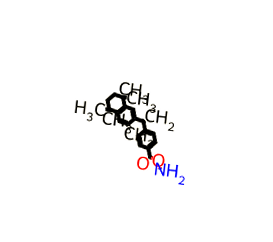 C=C(c1ccc(C(=O)ON)cc1)c1cc2c(cc1C)C(C)(C)CCC2(C)C